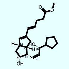 COC(=O)CCC=CC1=C[C@H]2C[C@@H](O)[C@@H](/C=C\[C@H](O)C3CCCC3)[C@H]2C1